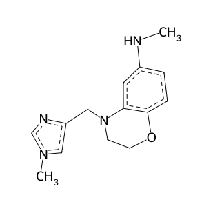 CNc1ccc2c(c1)N(Cc1cn(C)cn1)CCO2